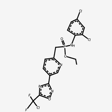 CCOP(=O)(Cc1ccc(-c2noc(C(F)(F)Cl)n2)cn1)Nc1ccc(Cl)cc1Cl